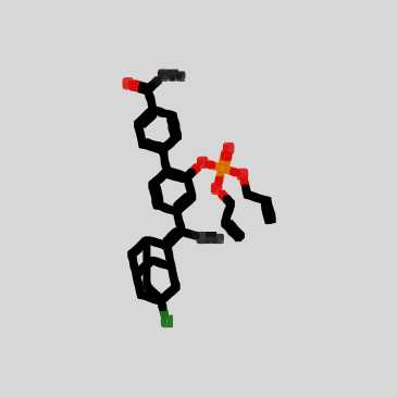 C=CCOP(=O)(OCC=C)Oc1cc(C(OC)=C2C3CC4CC2CC(Cl)(C4)C3)ccc1-c1ccc(C(=O)OC)cc1